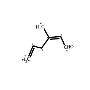 C=CC/C(C)=C\C=O